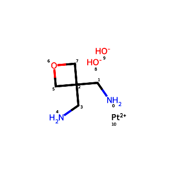 NCC1(CN)COC1.[OH-].[OH-].[Pt+2]